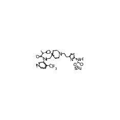 CC1OC2(CCN(CCc3csc(NC(=O)OC(C)(C)C)n3)CC2)CN(c2cnccc2C(F)(F)F)C1=O